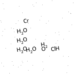 Cl.O.O.O.O.O.[Cr]